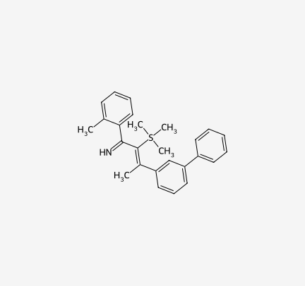 C/C(=C(\C(=N)c1ccccc1C)S(C)(C)C)c1cccc(-c2ccccc2)c1